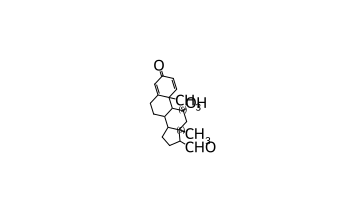 CC12C=CC(=O)C=C1CCC1C2[C@@H](O)C[C@]2(C)C(C=O)CCC12